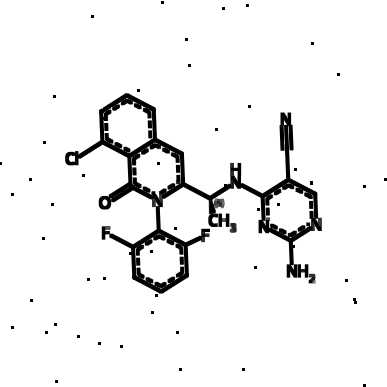 C[C@H](Nc1nc(N)ncc1C#N)c1cc2cccc(Cl)c2c(=O)n1-c1c(F)cccc1F